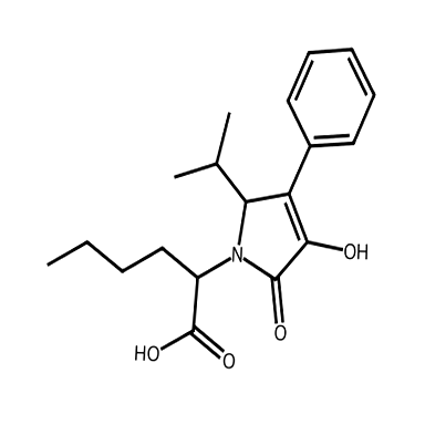 CCCCC(C(=O)O)N1C(=O)C(O)=C(c2ccccc2)C1C(C)C